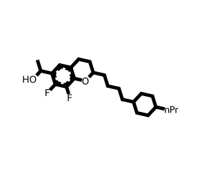 CCCC1CCC(CCCCC2CCc3cc(C(C)O)c(F)c(F)c3O2)CC1